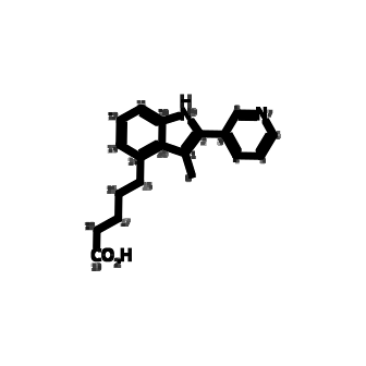 Cc1c(-c2cccnc2)[nH]c2cccc(CCCCC(=O)O)c12